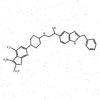 Nc1c(C(=O)O)sc2nc(N3CCC(NCC(O)c4ccc5[nH]c(Cc6ccccc6)nc5c4)CC3)cc(C(F)(F)F)c12